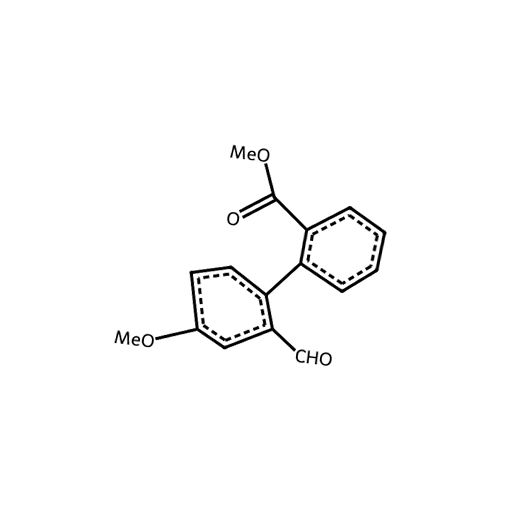 COC(=O)c1ccccc1-c1ccc(OC)cc1C=O